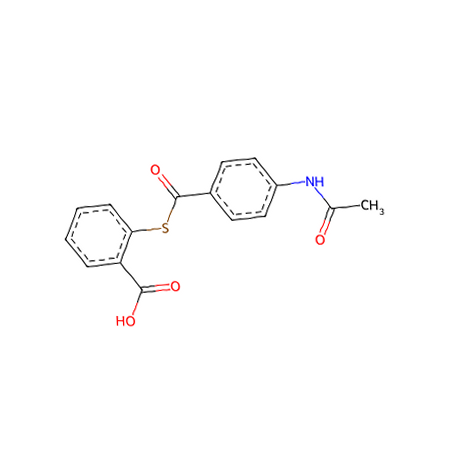 CC(=O)Nc1ccc(C(=O)Sc2ccccc2C(=O)O)cc1